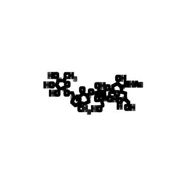 CC(=O)N[C@@H]1C(O)C[C@](OC2C(O)[C@H](O[C@H]3CC[C@]4(C)CC[C@@H](CO[C@@H]5OC(C)[C@@H](O)C(O)C5O)N4C3=O)OC(CO)[C@@H]2O)(C(=O)O)OC1C[C@H](O)CO